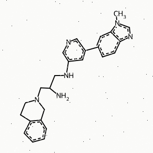 Cn1cnc2ccc(-c3cncc(NCC(N)CN4CCc5ccccc5C4)c3)cc21